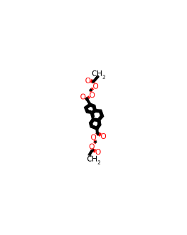 C=CC(=O)OCOC(=O)c1ccc2c(ccc3cc(C(=O)OCOC(=O)C=C)ccc32)c1